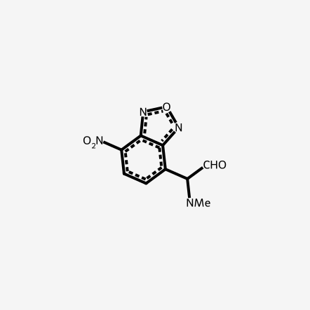 CNC(C=O)c1ccc([N+](=O)[O-])c2nonc12